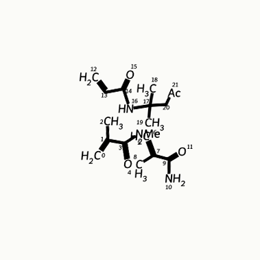 C=C(C)C(=O)NC.C=C(C)C(N)=O.C=CC(=O)NC(C)(C)CC(C)=O